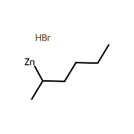 Br.CCCC[CH](C)[Zn]